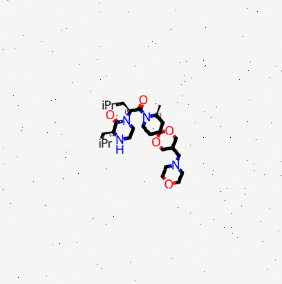 CC(C)C[C@@H]1NCCN([C@@H](CC(C)C)C(=O)N2CCC3(C[C@@H]2C)OCC(CN2CCOCC2)CO3)C1=O